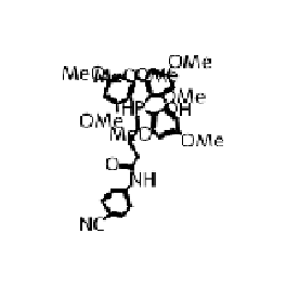 COc1cc(O)c([PH](CCCCC(=O)Nc2ccc(C#N)cc2)(c2c(OC)cc(OC)cc2OC)c2c(OC)cc(OC)cc2OC)c(OC)c1